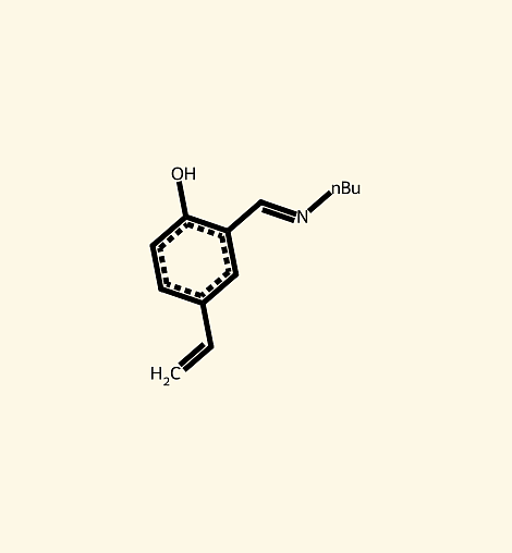 C=Cc1ccc(O)c(C=NCCCC)c1